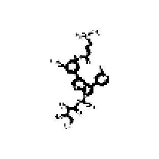 CCC(C)C(N)C(=O)OC(C)n1cc(-c2ccnc(F)c2)c2cc(-c3cc(NC(=O)/C=C/CN(C)C)cc(OC)c3)cnc21